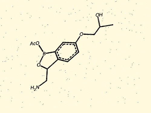 CC(=O)OB1OC(CN)c2ccc(OCC(C)O)cc21